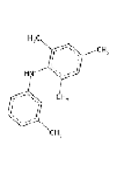 Cc1cccc(Nc2c(C)cc(C)cc2C)c1